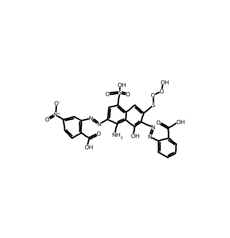 Nc1c(N=Nc2cc([N+](=O)[O-])ccc2C(=O)O)cc(S(=O)(=O)O)c2cc(SOOO)c(N=Nc3ccccc3C(=O)O)c(O)c12